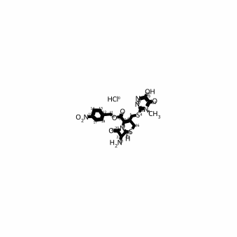 Cl.Cn1c(SCC2=C(C(=O)OCc3ccc([N+](=O)[O-])cc3)N3C(=O)C(N)[C@@H]3SC2)nnc(O)c1=O